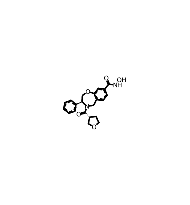 O=C(NO)c1ccc2c(c1)OC[C@H](c1ccccc1)N(C(=O)[C@@H]1CCOC1)C2